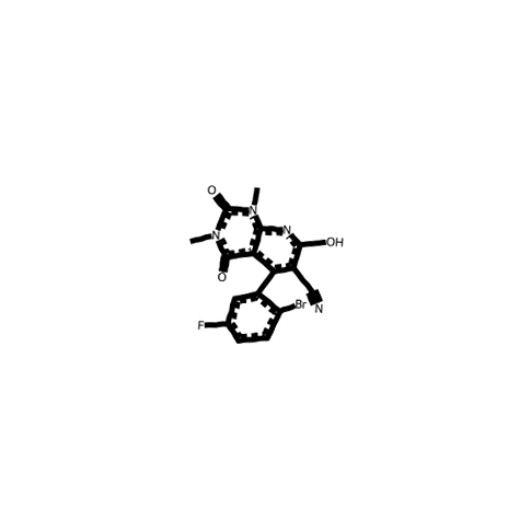 Cn1c(=O)c2c(-c3cc(F)ccc3Br)c(C#N)c(O)nc2n(C)c1=O